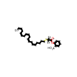 CC/C=C\C/C=C\C/C=C\C/C=C\C/C=C\CCCCSC(CC)(CC)C(=O)Oc1ccccc1C(=O)O